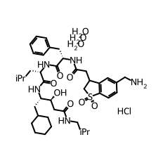 CC(C)CNC(=O)C[C@H](O)[C@H](CC1CCCCC1)NC(=O)[C@H](CC(C)C)NC(=O)[C@H](Cc1ccccc1)NC(=O)CC1CS(=O)(=O)c2ccc(CN)cc21.Cl.O.O.O